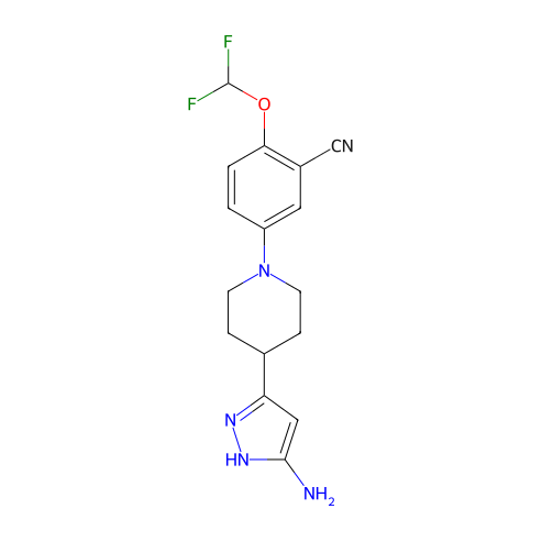 N#Cc1cc(N2CCC(c3cc(N)[nH]n3)CC2)ccc1OC(F)F